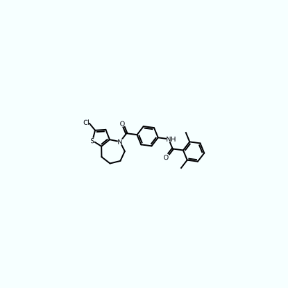 Cc1cccc(C)c1C(=O)Nc1ccc(C(=O)N2CCCCc3sc(Cl)cc32)cc1